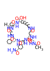 CC(=O)NCC(=O)NC1CC(=O)NCCCCC(C(=O)O)NC(=O)[C@H](C)NC(=O)CNC(=O)C(Cc2ccccc2)NC(=O)[C@H](Cc2ccc(C(N)=O)cc2)NC1=O